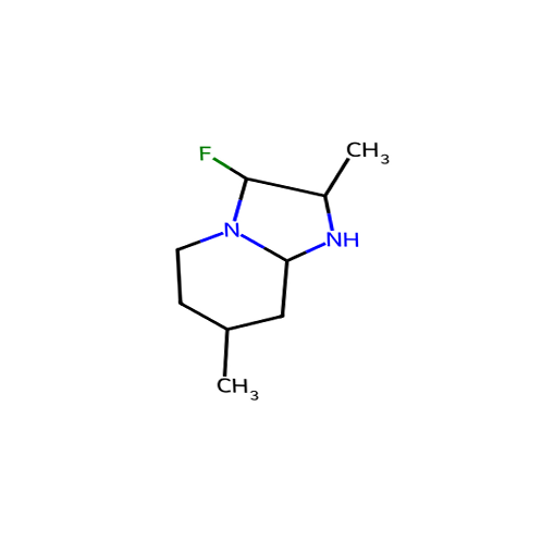 CC1CCN2C(C1)NC(C)C2F